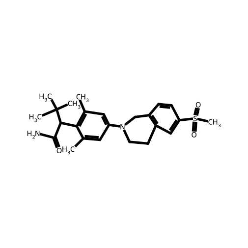 Cc1cc(N2CCc3cc(S(C)(=O)=O)ccc3C2)cc(C)c1C(C(N)=O)C(C)(C)C